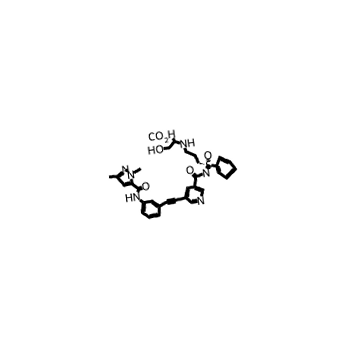 Cc1cc(C(=O)Nc2cccc(C#Cc3cncc(C(=O)N=[S@](=O)(CCCNC(CO)C(=O)O)c4ccccc4)c3)c2)n(C)n1